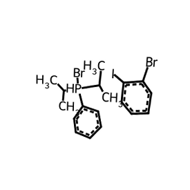 Brc1ccccc1I.CC(C)[PH](Br)(c1ccccc1)C(C)C